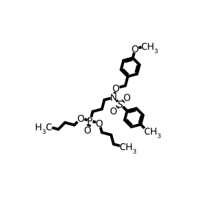 CCCCOP(=O)(CCCN(OCc1ccc(OC)cc1)S(=O)(=O)c1ccc(C)cc1)OCCCC